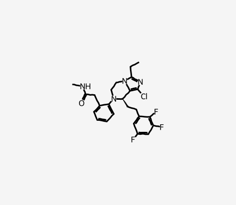 CCc1nc(Cl)c2n1CCN(c1ccccc1CC(=O)NC)[C@@H]2CCc1cc(F)cc(F)c1F